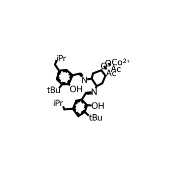 CC(=O)[O-].CC(=O)[O-].CC(C)Cc1cc(C=NC2CCCCC2N=Cc2cc(CC(C)C)cc(C(C)(C)C)c2O)c(O)c(C(C)(C)C)c1.[Co+2]